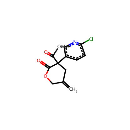 C=C1COC(=O)C(C(=O)OC)(c2ccc(Cl)nc2)C1